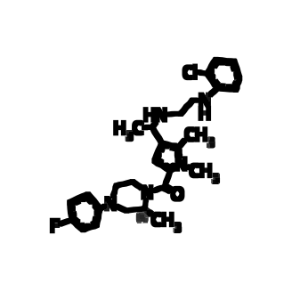 Cc1c(C(C)NCCNc2ccccc2Cl)cc(C(=O)N2CCN(c3ccc(F)cc3)C[C@@H]2C)n1C